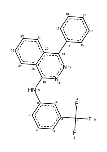 FC(F)(F)c1cccc(Nc2nnc(-c3ccccc3)c3ccccc23)c1